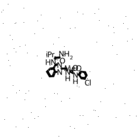 COc1ccc(Cl)cc1NC(=O)NCc1nc(N[C@H](C(N)=O)C(C)C)c2ccccc2n1